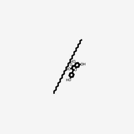 CCCCCCCCCCCCCCCCCCCCCCCCCCCCC.O=c1c(O)c(-c2ccc(O)cc2)oc2cc(O)cc(O)c12